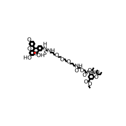 CCOC(=O)C1=C[C@@H](OC(CC)CC)[C@H](NC(C)=O)[C@@H](NC(=O)COCC(=O)NCCCOCCOCCOCCCNC(=S)Nc2ccc(-c3c4ccc(=O)cc-4oc4cc(O)ccc34)c(C(=O)O)c2)C1